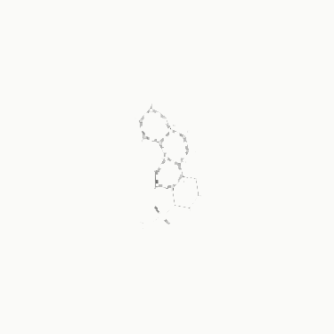 CS(=O)(=O)C1CCCc2c1ccc1c2ccc2ccccc21